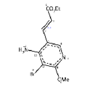 CCOC(=O)/C=C/c1cnc(OC)c(Br)c1N